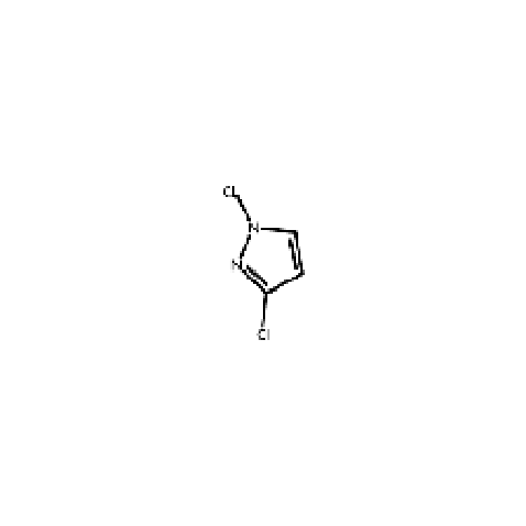 Clc1ccn(Cl)n1